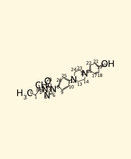 CC[C@@H](C)n1ncn(-c2ccc(N3CCN(c4ccc(O)cc4)CC3)cc2)c1=O